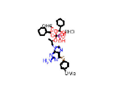 COc1ccc(Sc2nc(N)nc3c2ncn3CC(C)OC(OC(OC=O)C2CCCCC2)(OC(OC=O)C2CCCCC2)P(=O)(O)O)cc1